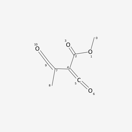 COC(=O)C(=C=O)C(C)=C=O